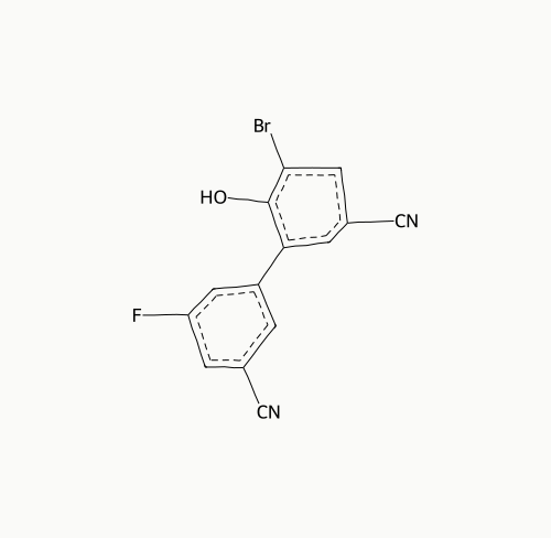 N#Cc1cc(F)cc(-c2cc(C#N)cc(Br)c2O)c1